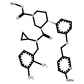 CNc1ccc(COc2cccc([C@H]3CCN(C(=O)OC(C)(C)C)C[C@@H]3C(=O)N(Cc3cccc(C)c3C)C3CC3)c2)cn1